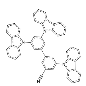 N#Cc1cc(-c2cc(-n3c4ccccc4c4ccccc43)cc(-n3c4ccccc4c4ccccc43)c2)cc(-n2c3ccccc3c3ccccc32)c1